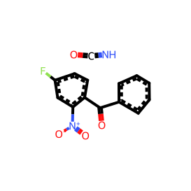 N=C=O.O=C(c1ccccc1)c1ccc(F)cc1[N+](=O)[O-]